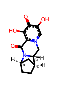 O=C1c2c(O)c(=O)c(O)cn2C[C@@H]2[C@H]3CC[C@H](C3)N12